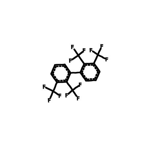 FC(F)(F)c1cccc(-c2cccc(C(F)(F)F)c2C(F)(F)F)c1C(F)(F)F